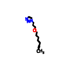 CC#CCCCCCOCCCn1ccnn1